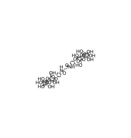 O=C(CCC(=O)Nc1ccc(O[C@@H]2O[C@H](CO)[C@@H](O[C@@H]3O[C@H](CO)[C@@H](O)[C@H](O)[C@H]3O)[C@H](O)[C@H]2O)cc1)Nc1ccc(O[C@@H]2O[C@H](CO)[C@@H](O[C@@H]3O[C@H](CO)[C@@H](O)[C@H](O)[C@H]3O)[C@H](O)[C@H]2O)cc1